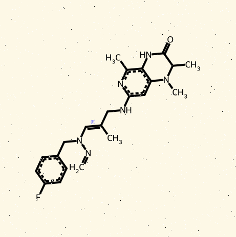 C=NN(/C=C(\C)CNc1cc2c(c(C)n1)NC(=O)C(C)N2C)Cc1ccc(F)cc1